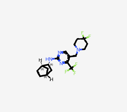 FC1(F)CCN(Cc2cnc(N[C@@H]3C[C@@H]4CC[C@@H]3C4)nc2C(F)(F)F)CC1